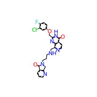 O=C1c2cccnc2CN1CCCNCc1nccc2c(=O)[nH]c(COc3ccc(F)c(Cl)c3)nc12